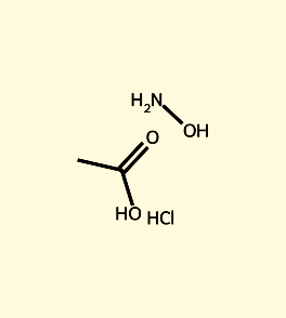 CC(=O)O.Cl.NO